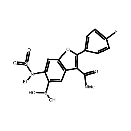 CCN(c1cc2oc(-c3ccc(F)cc3)c(C(=O)NC)c2cc1B(O)O)[SH](=O)=O